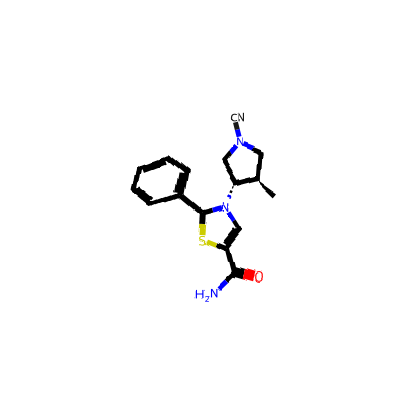 C[C@@H]1CN(C#N)C[C@H]1N1C=C(C(N)=O)SC1c1ccccc1